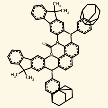 CC1(C)c2ccccc2-c2cc3c(cc21)B(c1ccc2c(c1)C1CC4CC(CC2C4)C1)c1ccc2ccc4c5c2c1N3C(=O)N5c1cc2c(cc1B4c1ccc3c(c1)C1CC4CC(CC3C4)C1)C(C)(C)c1ccccc1-2